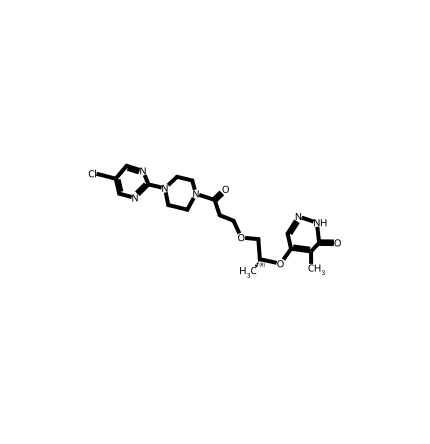 Cc1c(O[C@H](C)COCCC(=O)N2CCN(c3ncc(Cl)cn3)CC2)cn[nH]c1=O